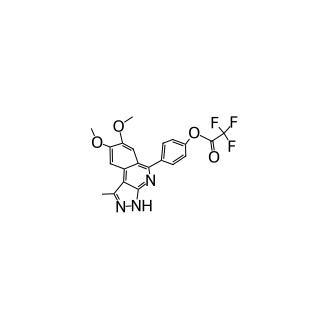 COc1cc2c(-c3ccc(OC(=O)C(F)(F)F)cc3)nc3[nH]nc(C)c3c2cc1OC